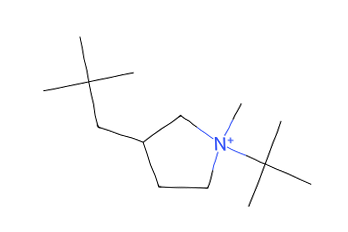 CC(C)(C)CC1CC[N+](C)(C(C)(C)C)C1